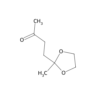 CC(=O)CCC1(C)OCCO1